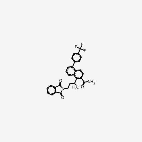 CC(CCN1C(=O)c2ccccc2C1=O)c1c(C(N)=O)ccc2c(-c3ccc(C(F)(F)F)cc3)cccc12